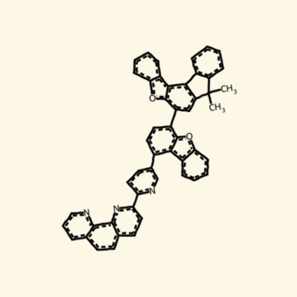 CC1(C)c2ccccc2-c2c1cc(-c1ccc(-c3ccc(-c4ccc5ccc6cccnc6c5n4)nc3)c3c1oc1ccccc13)c1oc3ccccc3c21